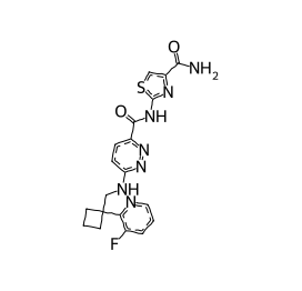 NC(=O)c1csc(NC(=O)c2ccc(NCC3(c4ncccc4F)CCC3)nn2)n1